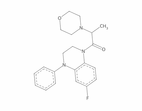 CC(C(=O)N1CCN(c2ccccc2)c2cc(F)ccc21)N1CCOCC1